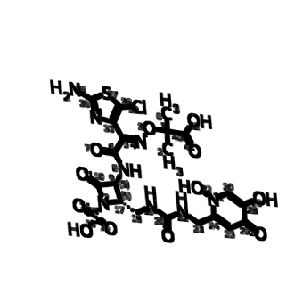 CC(C)(ON=C(C(=O)N[C@@H]1C(=O)N(S(=O)(=O)O)[C@H]1CNC(=O)NCc1cc(=O)c(O)cn1O)c1nc(N)sc1Cl)C(=O)O